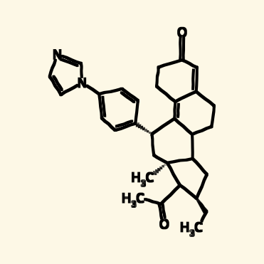 CC[C@@H]1CC2C3CCC4=CC(=O)CCC4=C3[C@@H](c3ccc(-n4ccnc4)cc3)C[C@]2(C)C1C(C)=O